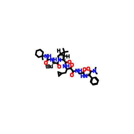 CN(C)C(=O)[C@@H](NC(=O)CNC(=O)C(=O)C(CC1CC1)NC(=O)[C@@H]1[C@@H]2[C@H](CN1C(=O)[C@@H](NC(=O)NC1(C)CCCCC1)C(C)(C)C)C2(C)C)c1ccccc1